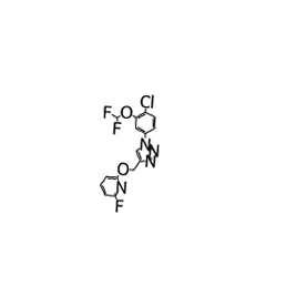 Fc1cccc(OCc2cn(-c3ccc(Cl)c(OC(F)F)c3)nn2)n1